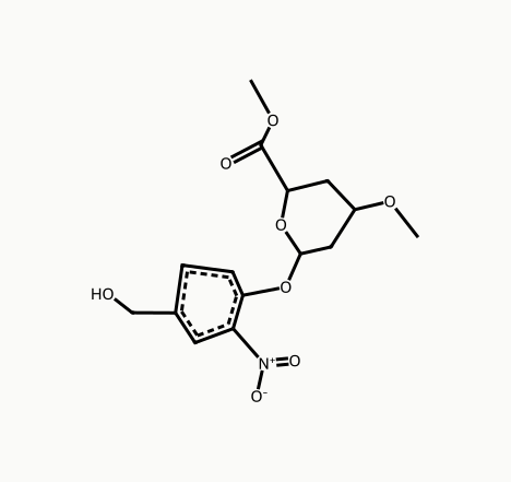 COC(=O)C1CC(OC)CC(Oc2ccc(CO)cc2[N+](=O)[O-])O1